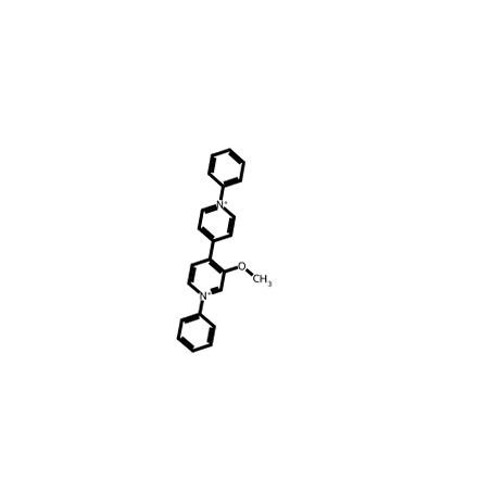 COc1c[n+](-c2ccccc2)ccc1-c1cc[n+](-c2ccccc2)cc1